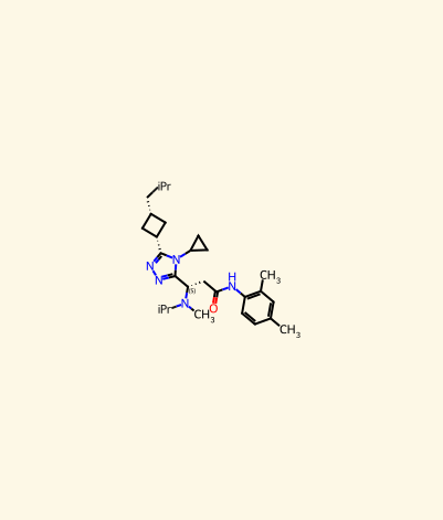 Cc1ccc(NC(=O)C[C@@H](c2nnc([C@H]3C[C@@H](CC(C)C)C3)n2C2CC2)N(C)C(C)C)c(C)c1